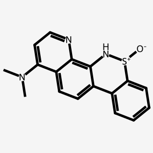 CN(C)c1ccnc2c3c(ccc12)-c1ccccc1[S+]([O-])N3